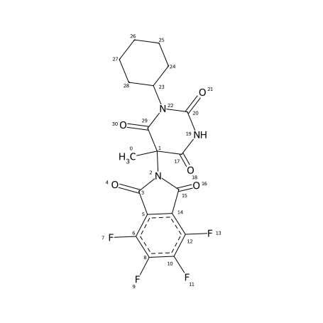 CC1(N2C(=O)c3c(F)c(F)c(F)c(F)c3C2=O)C(=O)NC(=O)N(C2CCCCC2)C1=O